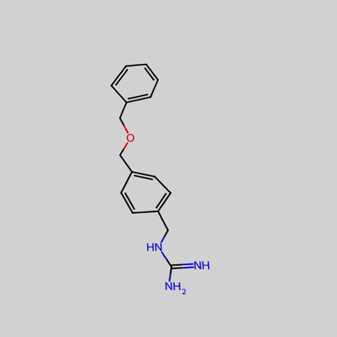 N=C(N)NCc1ccc(COCc2ccccc2)cc1